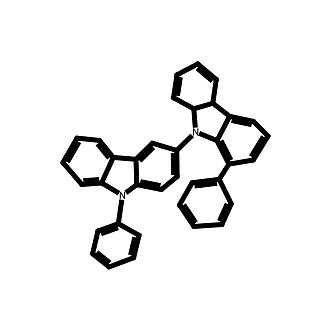 C1=CC2c3cccc(-c4ccccc4)c3N(c3ccc4c(c3)c3ccccc3n4-c3ccccc3)C2C=C1